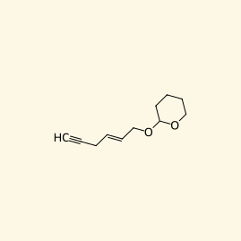 C#CCC=CCOC1CCCCO1